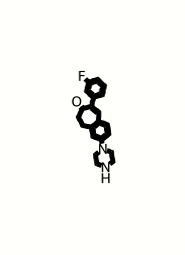 O=C1CCc2cc(N3CCNCC3)ccc2C=C1c1cccc(F)c1